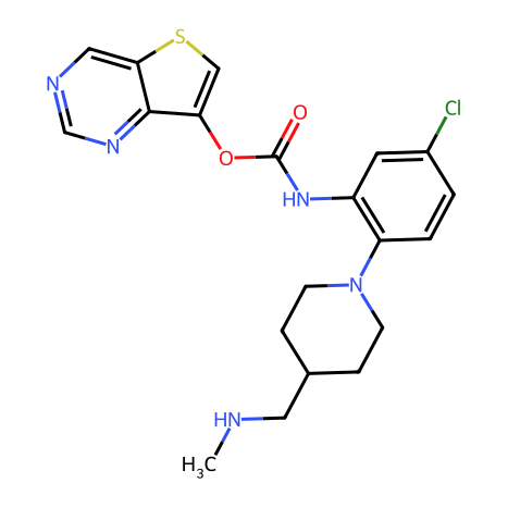 CNCC1CCN(c2ccc(Cl)cc2NC(=O)Oc2csc3cncnc23)CC1